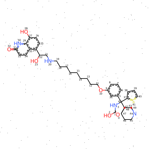 O=C(O)NC(c1cccc(OCCCCCCCCCNCC(O)c2ccc(O)c3[nH]c(=O)ccc23)c1)(c1cccs1)C1CN2CCC1CC2